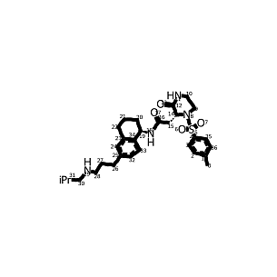 Cc1ccc(S(=O)(=O)N2CCNC(=O)[C@H]2CC(=O)N[C@@H]2CCCc3cc(CCCNCC(C)C)ccc32)cc1